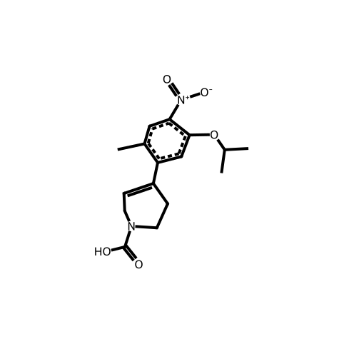 Cc1cc([N+](=O)[O-])c(OC(C)C)cc1C1=CCN(C(=O)O)CC1